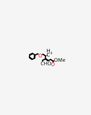 COC(=O)C/C=C(/CC=O)[C@@H](C)COCc1ccccc1